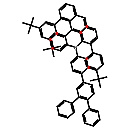 CC(C)(C)c1ccc(-c2ccccc2N(c2ccc(-c3ccc(-c4ccccc4)c(-c4ccccc4)c3)cc2)c2ccccc2-c2cccc3cccc(-c4cc(C(C)(C)C)cc(C(C)(C)C)c4)c23)cc1